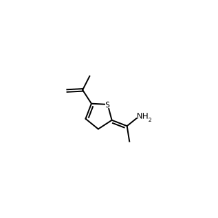 C=C(C)C1=CC/C(=C(\C)N)S1